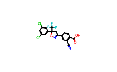 N#Cc1cc(C2=NOC(c3cc(Cl)cc(Cl)c3)(C(F)(F)F)C2)ccc1C(=O)O